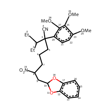 CCC(CC)C(C#N)(CCCC(CC1Oc2ccccc2O1)[N+](=O)[O-])c1ccc(OC)c(OC)c1OC